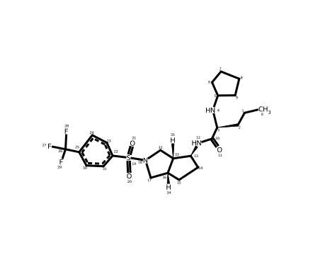 CCC[C@H](NC1CCCC1)C(=O)N[C@H]1CC[C@@H]2CN(S(=O)(=O)c3ccc(C(F)(F)F)cc3)C[C@@H]21